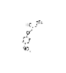 CC(C)(C)C[C@@H](O)COc1ccc([N+](=O)[O-])cc1